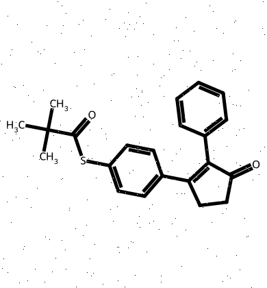 CC(C)(C)C(=O)Sc1ccc(C2=C(c3ccccc3)C(=O)CC2)cc1